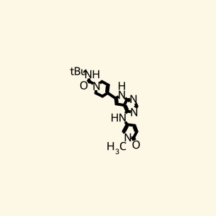 Cn1cc(Nc2ncnc3[nH]c(C4=CCN(C(=O)NC(C)(C)C)CC4)cc23)ccc1=O